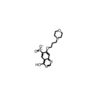 O=[N+]([O-])c1cc2c(O)ncnc2cc1OCCCN1CCOCC1